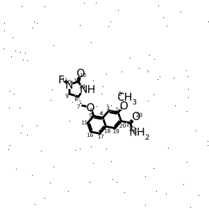 COc1cc2c(OC[C@@H]3CN(F)C(=O)N3)cccc2cc1C(N)=O